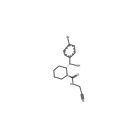 N#CCNC(=O)[C@H]1CCCC[C@@H]1C(S)c1ccc(Br)cc1